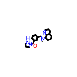 CN(Cc1cccc(C(=O)N2CCCN2)c1)C1CCCc2cccnc21